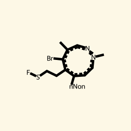 CCCCCCCCCc1ccn(C)ncc(C)c(Br)c1CCSF